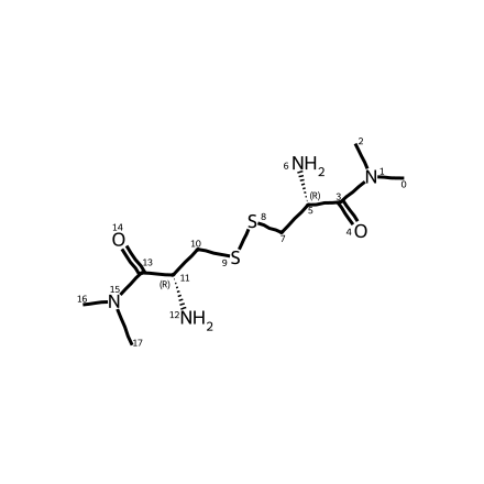 CN(C)C(=O)[C@@H](N)CSSC[C@H](N)C(=O)N(C)C